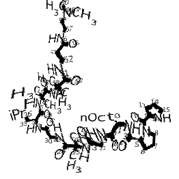 CCCCCCCC[C@H](NC(=O)[C@@H]1CCCN1C(=O)c1ccc[nH]1)C(=O)NCC(=O)NC(C)(C)C(=O)NCC(=O)N[C@@H](CC(C)C)C(=O)NC(C)(C)C(=O)NC(C)(C)C(=O)NCCC(=O)NCCN(C)C